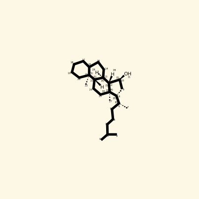 CC(C)CCC[C@@H](C)[C@H]1C[C@H](O)[C@H]2[C@@H]3CCC4CCCC[C@]4(C)[C@H]3CC[C@@]21C